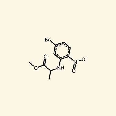 COC(=O)C(C)Nc1cc(Br)ccc1[N+](=O)[O-]